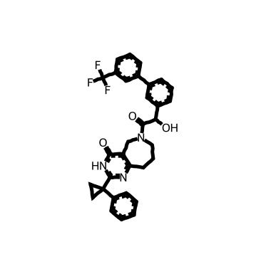 O=C(C(O)c1cccc(-c2cccc(C(F)(F)F)c2)c1)N1CCCc2nc(C3(c4ccccc4)CC3)[nH]c(=O)c2C1